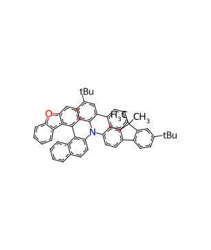 CC(C)(C)c1ccc(N(c2ccc3c(c2)C(C)(C)c2cc(C(C)(C)C)ccc2-3)c2ccc3ccccc3c2-c2cccc3oc4ccccc4c23)c(-c2ccccc2)c1